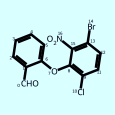 O=Cc1ccccc1Oc1c(Cl)ccc(Br)c1[N+](=O)[O-]